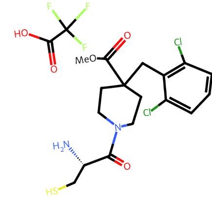 COC(=O)C1(Cc2c(Cl)cccc2Cl)CCN(C(=O)[C@@H](N)CS)CC1.O=C(O)C(F)(F)F